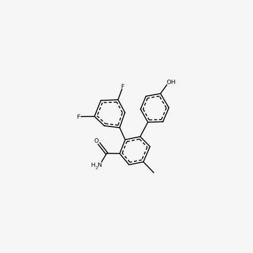 Cc1cc(C(N)=O)c(-c2cc(F)cc(F)c2)c(-c2ccc(O)cc2)c1